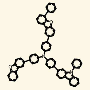 c1ccc(-c2cccc3c2oc2ccc(-c4ccc(N(c5ccc(-c6ccc7oc8ccccc8c7c6)cc5)c5ccc(-c6ccc7c8ccccc8n(-c8ccccc8)c7c6)cc5)cc4)cc23)cc1